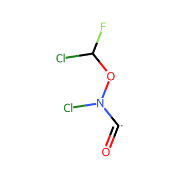 O=[C]N(Cl)OC(F)Cl